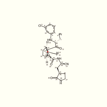 CC(C)C[C@@H](Nc1cccc(Cl)c1)C(=O)N1[C@@H]2CC[C@H]([C@@H]1C(=O)N[C@@H](C#N)C[C@H]1CCNC1=O)C(F)(F)C2